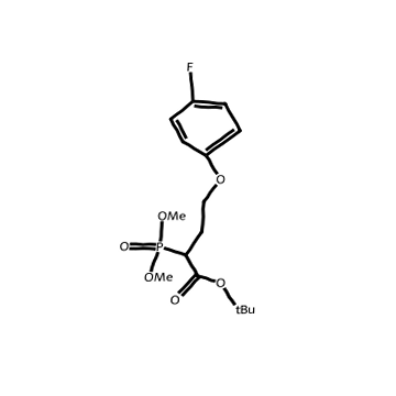 COP(=O)(OC)C(CCOc1ccc(F)cc1)C(=O)OC(C)(C)C